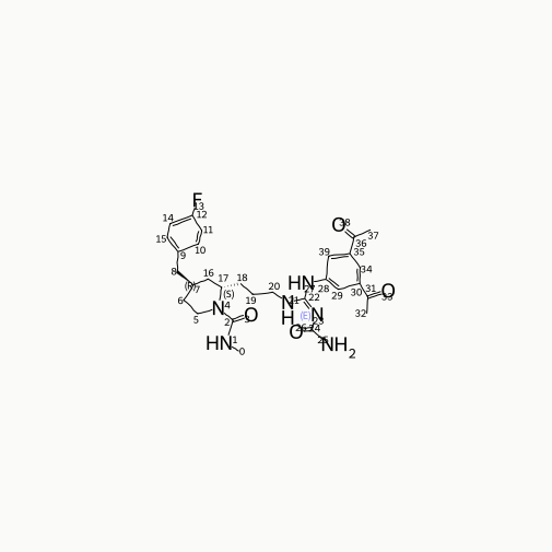 CNC(=O)N1CC[C@@H](Cc2ccc(F)cc2)C[C@@H]1CCCN/C(=N\C(N)=O)Nc1cc(C(C)=O)cc(C(C)=O)c1